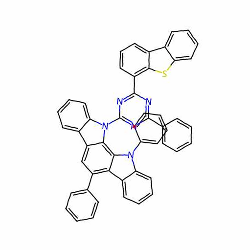 c1ccc(-c2nc(-c3cccc4c3sc3ccccc34)nc(-n3c4ccccc4c4cc(-c5ccccc5)c5c6ccccc6n(-c6ccccc6)c5c43)n2)cc1